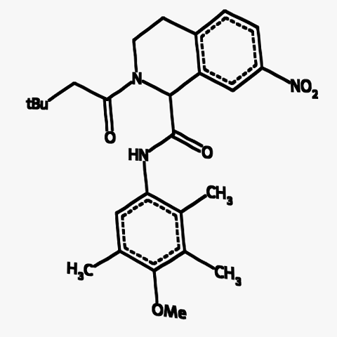 COc1c(C)cc(NC(=O)C2c3cc([N+](=O)[O-])ccc3CCN2C(=O)CC(C)(C)C)c(C)c1C